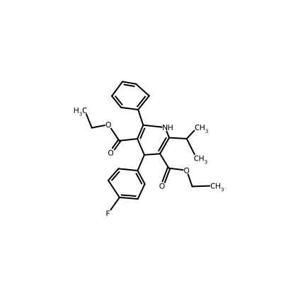 CCOC(=O)C1=C(c2ccccc2)NC(C(C)C)=C(C(=O)OCC)C1c1ccc(F)cc1